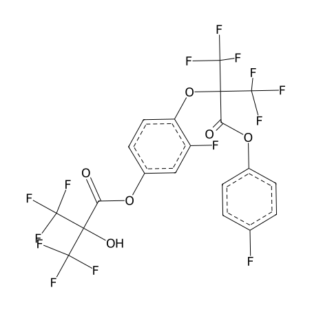 O=C(Oc1ccc(OC(C(=O)Oc2ccc(F)cc2)(C(F)(F)F)C(F)(F)F)c(F)c1)C(O)(C(F)(F)F)C(F)(F)F